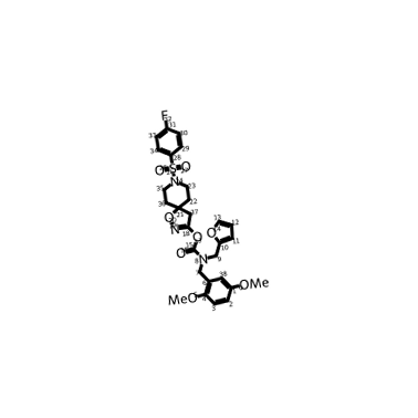 COc1ccc(OC)c(CN(Cc2ccco2)C(=O)OC2=NOC3(CCN(S(=O)(=O)c4ccc(F)cc4)CC3)C2)c1